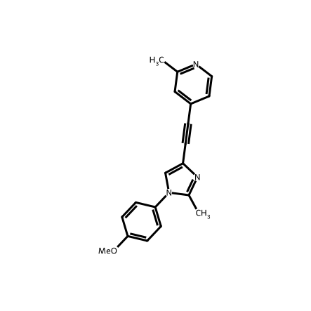 COc1ccc(-n2cc(C#Cc3ccnc(C)c3)nc2C)cc1